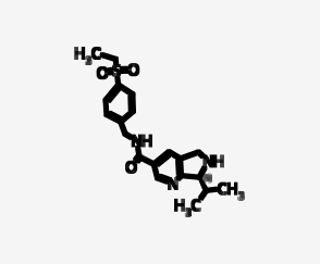 CCS(=O)(=O)c1ccc(CNC(=O)c2cnc3c(c2)CN[C@H]3C(C)C)cc1